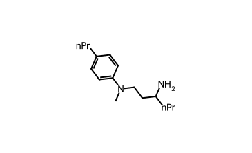 CCCc1ccc(N(C)CCC(N)CCC)cc1